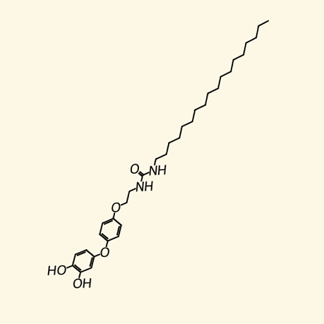 CCCCCCCCCCCCCCCCCCNC(=O)NCCOc1ccc(Oc2ccc(O)c(O)c2)cc1